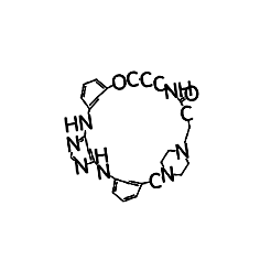 O=C1CCN2CCN(CC2)Cc2cccc(c2)Nc2cc(ncn2)Nc2cccc(c2)OCCCN1